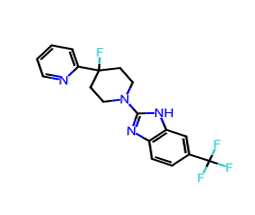 FC(F)(F)c1ccc2nc(N3CCC(F)(c4ccccn4)CC3)[nH]c2c1